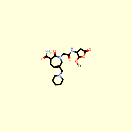 CCOC1OC(=O)CC1NC(=O)CN1CC(CN2CCCCC2)=CCC(C(N)=O)C1=O